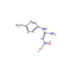 Cc1ccc(NC(N)=N[N+](=O)[O-])cc1